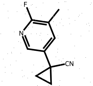 Cc1cc(C2(C#N)CC2)cnc1F